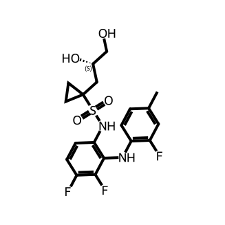 Cc1ccc(Nc2c(NS(=O)(=O)C3(C[C@H](O)CO)CC3)ccc(F)c2F)c(F)c1